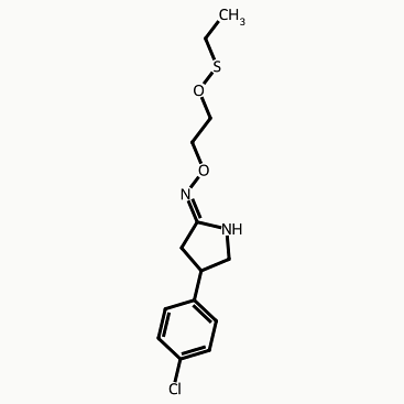 CCSOCCO/N=C1/CC(c2ccc(Cl)cc2)CN1